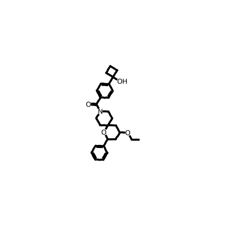 CCOC1CC(c2ccccc2)OC2(CCN(C(=O)c3ccc(C4(O)CCC4)cc3)CC2)C1